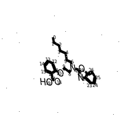 CCCCCCCN(CCOc1ccccc1C(=O)O)c1nc2ccccc2o1